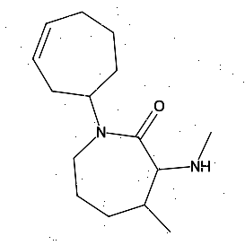 CNC1C(=O)N(C2CC=CCCC2)CCCC1C